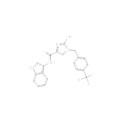 Cc1nc(C(=O)Nc2c[nH]c3ccccc23)cn1Cc1ccc(C(F)(F)F)cc1